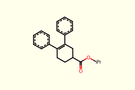 CC(C)OC(=O)C1CCC(c2ccccc2)=C(c2ccccc2)C1